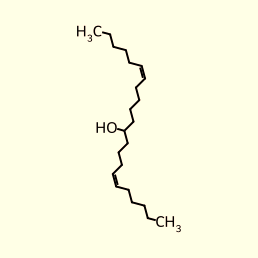 CCCCC/C=C\CCCCC(O)CCC/C=C\CCCCC